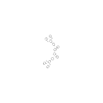 CC1(C)c2ccccc2N2c3ccccc3C(C)(C)c3cc(-c4ccc(-n5c6ccccc6c6cc(-c7ccc8c(c7)c7ccccc7n8-c7ccc(-c8cc9c%10c(c8)C(C)(C)c8ccccc8N%10c8ccccc8C9(C)C)cc7)ccc65)cc4)cc1c32